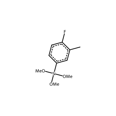 CO[Si](OC)(OC)c1ccc(F)c(C)c1